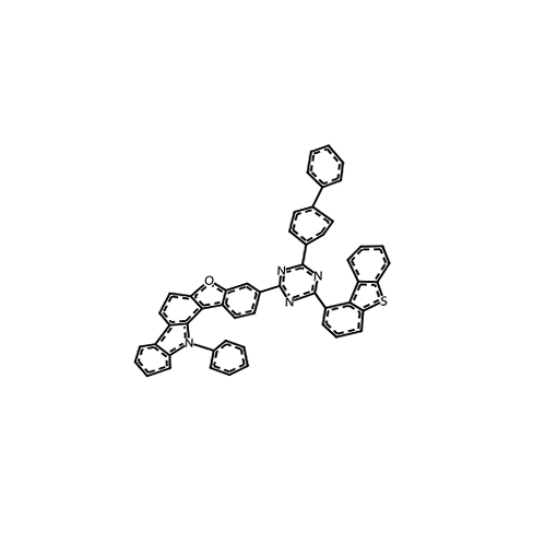 c1ccc(-c2ccc(-c3nc(-c4ccc5c(c4)oc4ccc6c7ccccc7n(-c7ccccc7)c6c45)nc(-c4cccc5sc6ccccc6c45)n3)cc2)cc1